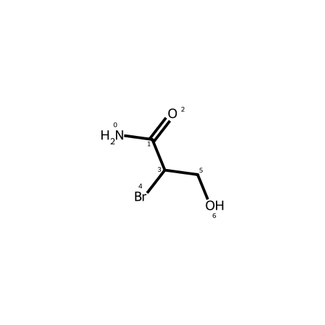 NC(=O)C(Br)CO